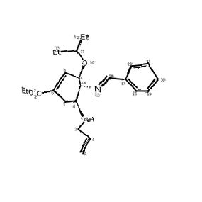 C=CCN[C@H]1CC(C(=O)OCC)=C[C@@H](OC(CC)CC)[C@@H]1/N=C/c1ccccc1